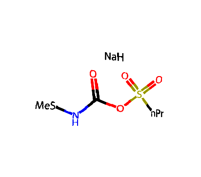 CCCS(=O)(=O)OC(=O)NSC.[NaH]